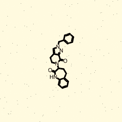 O=C1Nc2ccccc2CCC1N1CCc2cn(Cc3ccccc3)nc2C1=O